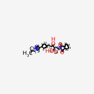 CC(C)Cn1cc(-c2ccc(CC[C@@H](O)[C@@H](CCN3C(=O)c4ccccc4C3=O)C(=O)O)cc2)cn1